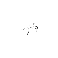 CCCCO/C(=C\OCCC=O)CNC1c2cc(C#N)ccc2OC(C)(C)C1O